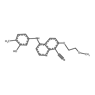 COCCOc1ccc2c(Nc3ccc(C)c(O)c3)ccnc2c1C#N